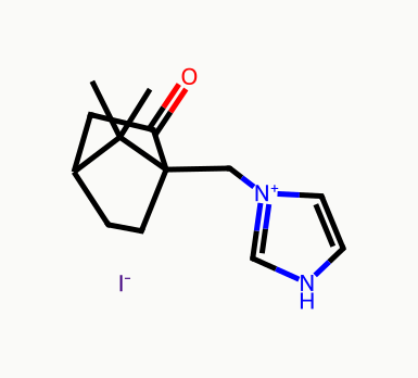 CC1(C)C2CCC1(C[n+]1cc[nH]c1)C(=O)C2.[I-]